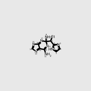 CCC(c1ncc[nH]1)C1(N)N=C(N)C2=NC=NC2=N1